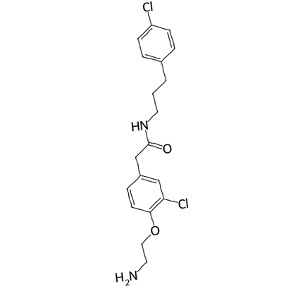 NCCOc1ccc(CC(=O)NCCCc2ccc(Cl)cc2)cc1Cl